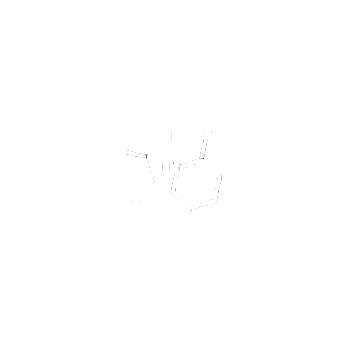 O=C(O)CO.O=c1cccc[nH]1